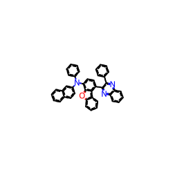 c1ccc(-c2nc3ccccc3nc2-c2ccc(N(c3ccccc3)c3ccc4ccccc4c3)c3oc4ccccc4c23)cc1